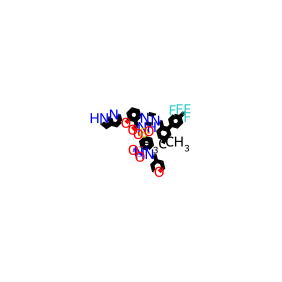 CC1(C)CCC(CN2CCN(c3cccc(Oc4cnc5[nH]ccc5c4)c3C(=O)NS(=O)(=O)c3ccc(NCC4CCOCC4)c([N+](=O)[O-])c3)CC2)=C(c2ccc(C(F)(F)F)c(F)c2)C1